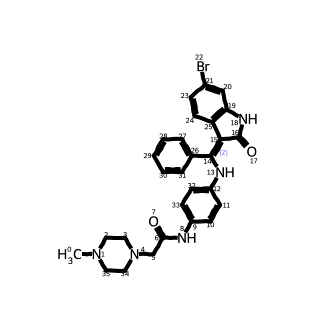 CN1CCN(CC(=O)Nc2ccc(N/C(=C3\C(=O)Nc4cc(Br)ccc43)c3ccccc3)cc2)CC1